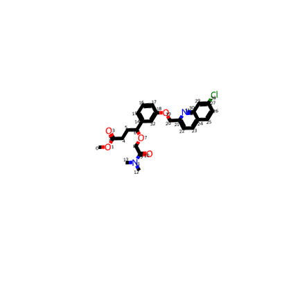 COC(=O)CCC(OCC(=O)N(C)C)c1cccc(OCc2ccc3ccc(Cl)cc3n2)c1